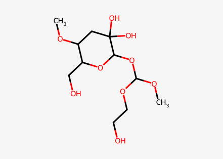 COC(OCCO)OC1OC(CO)C(OC)CC1(O)O